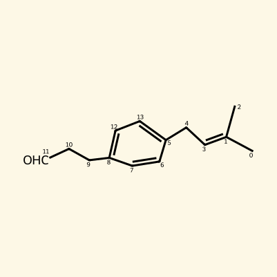 CC(C)=CCc1ccc(CCC=O)cc1